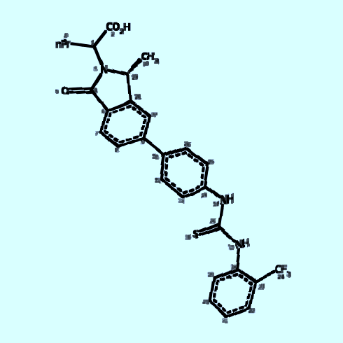 CCCC(C(=O)O)N1C(=O)c2ccc(-c3ccc(NC(=S)Nc4ccccc4C(F)(F)F)cc3)cc2[C@@H]1C